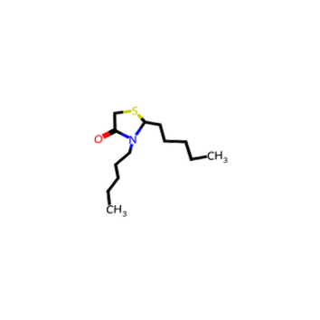 CCCCCC1SCC(=O)N1CCCCC